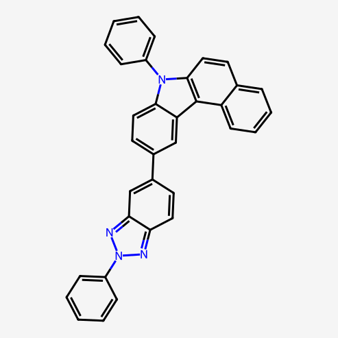 c1ccc(-n2nc3ccc(-c4ccc5c(c4)c4c6ccccc6ccc4n5-c4ccccc4)cc3n2)cc1